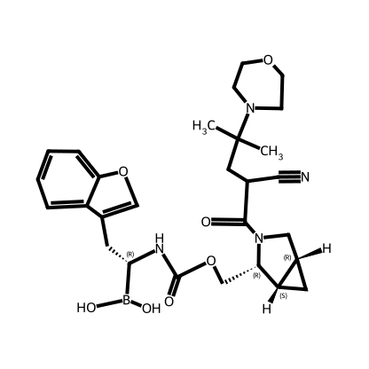 CC(C)(CC(C#N)C(=O)N1C[C@@H]2C[C@@H]2[C@@H]1COC(=O)N[C@@H](Cc1coc2ccccc12)B(O)O)N1CCOCC1